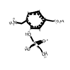 Nc1ccc(C(=O)O)cc1.O=P(O)(O)O